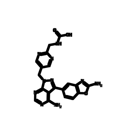 Nc1nc2cc(-c3nn(Cc4cnc(CNC(=O)O)nc4)c4ncnc(N)c34)ccc2o1